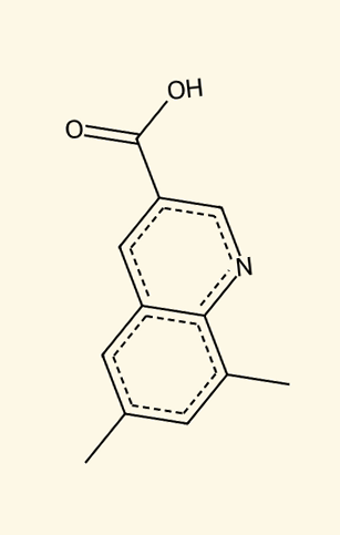 Cc1cc(C)c2ncc(C(=O)O)cc2c1